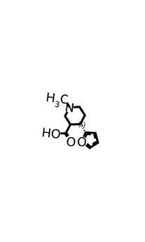 CN1CC[C@H](c2ccco2)C(C(=O)O)C1